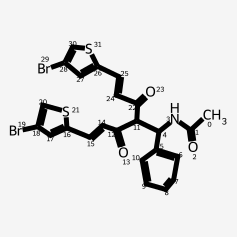 CC(=O)NC(c1ccccc1)C(C(=O)C=Cc1cc(Br)cs1)C(=O)C=Cc1cc(Br)cs1